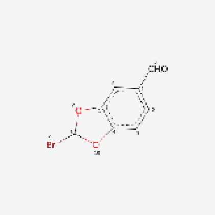 O=Cc1ccc2c(c1)OC(Br)O2